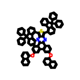 c1ccc(C2(c3ccccc3)c3ccccc3-c3c(-c4sc(-c5cccc6c5-c5ccccc5C6(c5ccccc5)c5ccccc5)c5nc6c7ccc(Oc8cccc9ccccc89)cc7c7cc(Oc8cccc9ccccc89)ccc7c6nc45)cccc32)cc1